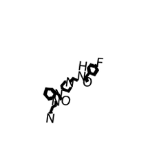 N#CCCn1c(=O)n(C2CCN(CCNC(=O)c3ccc(F)cc3)CC2)c2ccccc21